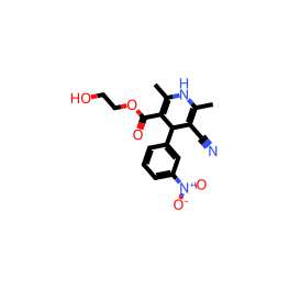 CC1=C(C#N)C(c2cccc([N+](=O)[O-])c2)C(C(=O)OCCO)=C(C)N1